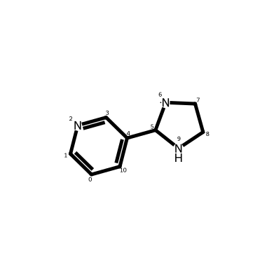 c1cncc(C2[N]CCN2)c1